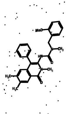 COc1ccccc1CN(C)C(=O)Nc1c(-c2ccccc2)c2cc(C)c(C)cc2c(=O)n1C